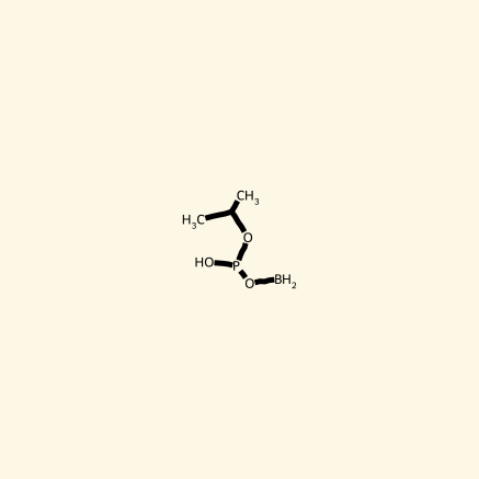 BOP(O)OC(C)C